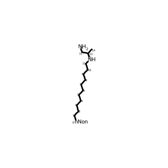 CCCCCCCCCCCCCCCCCCCCNC(C)CN